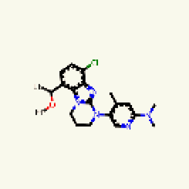 CCOC(CC)c1ccc(Cl)c2nc3n(c12)CCCN3c1cnc(N(C)C)cc1C